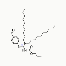 C=CCOC(=O)N/C(=N/c1ccc(C=O)cc1)N(CCCCCCCCCC)CCCCCCCCCC